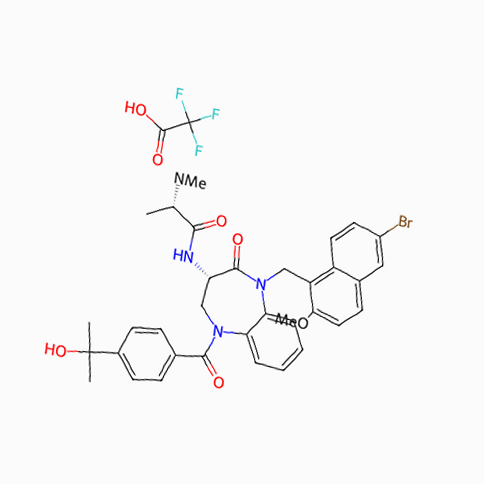 CN[C@@H](C)C(=O)N[C@H]1CN(C(=O)c2ccc(C(C)(C)O)cc2)c2ccccc2N(Cc2c(OC)ccc3cc(Br)ccc23)C1=O.O=C(O)C(F)(F)F